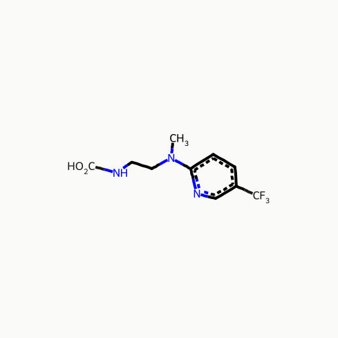 CN(CCNC(=O)O)c1ccc(C(F)(F)F)cn1